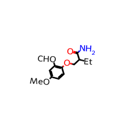 CCC(COc1ccc(OC)cc1C=O)C(N)=O